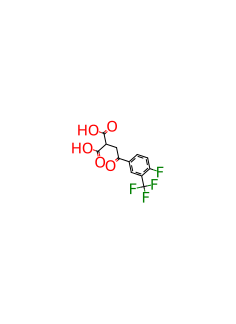 O=C(CC(C(=O)O)C(=O)O)c1ccc(F)c(C(F)(F)F)c1